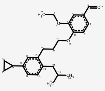 CCOc1cc(C=O)ccc1OCCCc1cc(C2CC2)ccc1CC(C)C